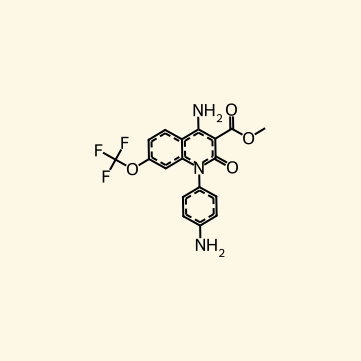 COC(=O)c1c(N)c2ccc(OC(F)(F)F)cc2n(-c2ccc(N)cc2)c1=O